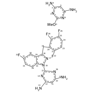 COc1nc(N)cc(N)n1.Nc1cc(N)nc(-n2nc(Cc3c(F)ccc(F)c3F)c3cc(F)ccc32)n1